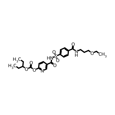 CCOCCCNC(=O)c1ccc(S(=O)(=O)NC(=O)c2ccc(OC(=O)OC(CC)CC)nc2)cc1